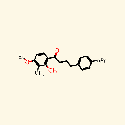 CCCc1ccc(CCCC(=O)c2ccc(OCC)c(C(F)(F)F)c2O)cc1